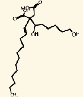 CCCCCCCCCCC=CC(CC(=O)O)(C(=O)O)C(O)CCCCCO